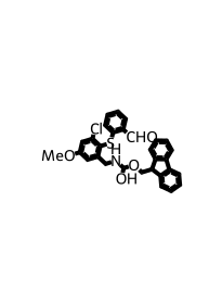 COc1cc(Cl)c(Sc2ccccc2C=O)c(CNC(O)OCC2c3ccccc3-c3ccccc32)c1